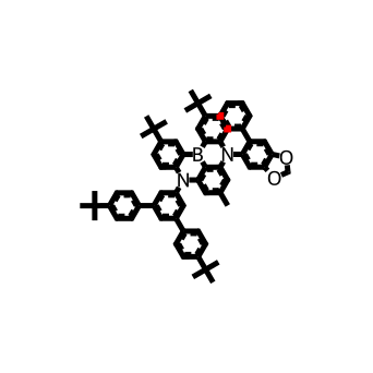 Cc1cc2c3c(c1)N(c1cc4c(cc1-c1ccccc1)OCO4)c1ccc(C(C)(C)C)cc1B3c1cc(C(C)(C)C)ccc1N2c1cc(-c2ccc(C(C)(C)C)cc2)cc(-c2ccc(C(C)(C)C)cc2)c1